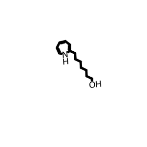 OCCCCCCCC1=CC=CC=CN1